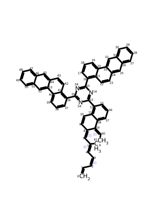 C=C\C=C/C=C(C)/C=c1/ccc2c(-c3nc(-c4cccc5c4ccc4cc6ccccc6cc45)nc(-c4cccc5c4ccc4cc6ccccc6cc45)n3)cccc2/c1=C/C